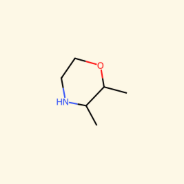 CC1NCCOC1C